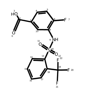 O=C(O)c1ccc(F)c(NS(=O)(=O)c2ccccc2C(F)(F)F)c1